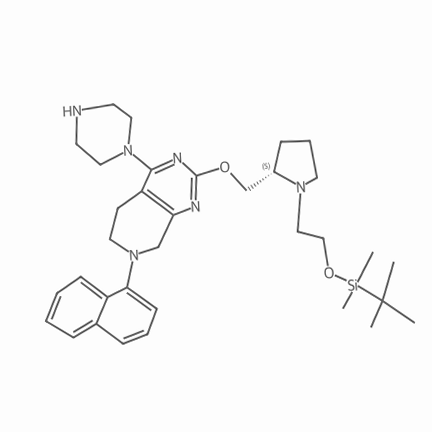 CC(C)(C)[Si](C)(C)OCCN1CCC[C@H]1COc1nc2c(c(N3CCNCC3)n1)CCN(c1cccc3ccccc13)C2